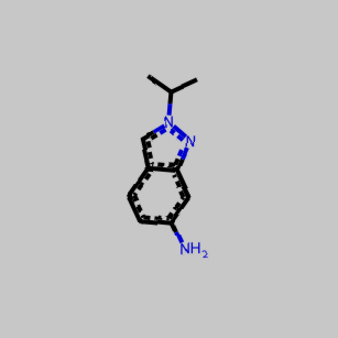 CC(C)n1cc2ccc(N)cc2n1